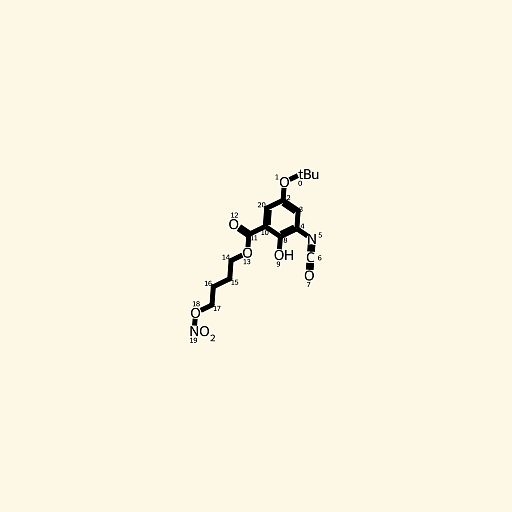 CC(C)(C)Oc1cc(N=C=O)c(O)c(C(=O)OCCCCO[N+](=O)[O-])c1